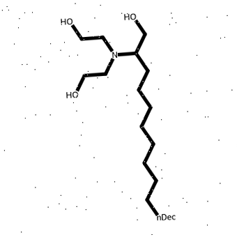 CCCCCCCCCCCCCCCCCCC(CO)N(CCO)CCO